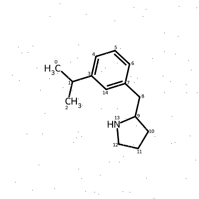 CC(C)c1cccc(CC2CCCN2)c1